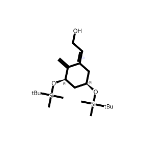 C=C1/C(=C\CO)C[C@@H](O[Si](C)(C)C(C)(C)C)C[C@H]1O[Si](C)(C)C(C)(C)C